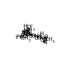 CC(C)N(C)[C@@H]1CC[C@H](N2CC[C@H](Nc3ncnc4ccc(C(F)(F)F)cc34)C2=O)[C@H](NC(=O)C2CCC(NC(=O)COCCNC(=O)COCCNC(=O)[C@H]3CC(=O)N(C)[C@@H]3c3cccnc3)CC2)C1